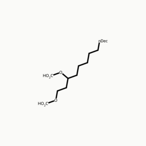 CCCCCCCCCCCCCCCC(CCOC(=O)O)OC(=O)O